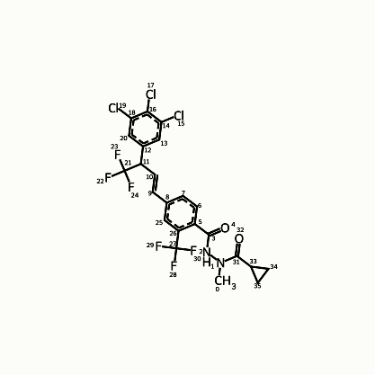 CN(NC(=O)c1ccc(/C=C/C(c2cc(Cl)c(Cl)c(Cl)c2)C(F)(F)F)cc1C(F)(F)F)C(=O)C1CC1